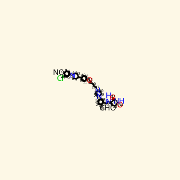 N#Cc1ccc(N2CCC(c3ccc(OCCCCN4CCN(c5ccc(C=O)c(CNC6CCC(=O)NC6=O)c5)CC4)cc3)CC2)cc1Cl